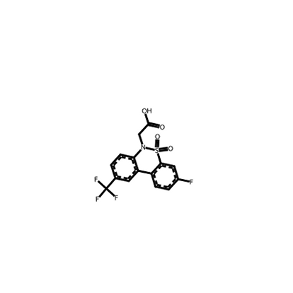 O=C(O)CN1c2ccc(C(F)(F)F)cc2-c2ccc(F)cc2S1(=O)=O